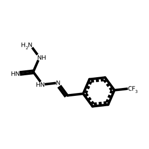 N=C(NN)N/N=C/c1ccc(C(F)(F)F)cc1